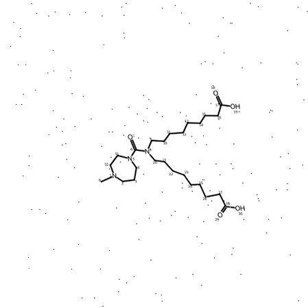 CN1CCCN(C(=O)N(CCCCCCCCC(=O)O)CCCCCCCCC(=O)O)CC1